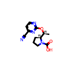 C[C@H](Oc1nccc(C#N)n1)[C@@H]1CCCN1C(=O)O